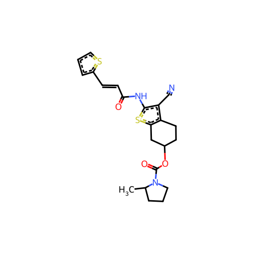 CC1CCCN1C(=O)OC1CCc2c(sc(NC(=O)C=Cc3cccs3)c2C#N)C1